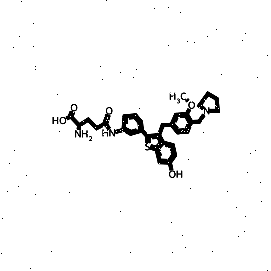 COc1cc(Cc2c(-c3cccc(NC(=O)CCC(N)C(=O)O)c3)sc3cc(O)ccc23)ccc1CN1CCCC1